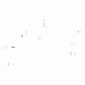 NCC(c1cn([C@@H]2O[C@H](CO)[C@@H](O)[C@H]2O)c(=S)[nH]c1=O)S(=O)(=O)O